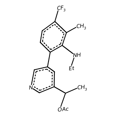 CCNc1c(-c2cncc(C(C)OC(C)=O)c2)ccc(C(F)(F)F)c1C